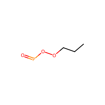 CCCOOP=O